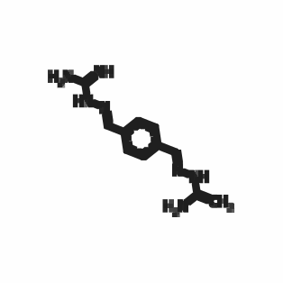 C=C(N)N/N=C/c1ccc(/C=N/NC(=N)N)cc1